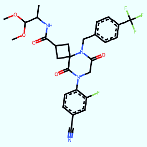 COC(OC)C(C)NC(=O)C1CC2(C1)C(=O)N(c1ccc(C#N)cc1F)CC(=O)N2Cc1ccc(C(F)(F)F)cc1